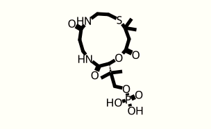 CC1(C)CC(=O)O[C@H](C(C)(C)COP(=O)(O)O)C(=O)NCCC(=O)NCCS1